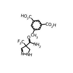 Cc1cc(C(=O)O)cc(C(=O)O)c1.NC(=O)C1(C(F)(F)F)C=NNC1